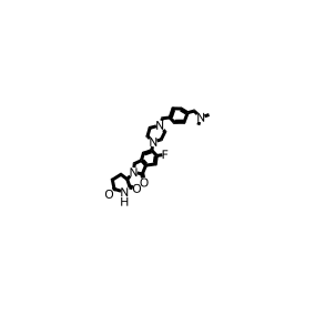 CN(C)Cc1ccc(CN2CCN(c3cc4c(cc3F)C(=O)N(C3CCC(=O)NC3=O)C4)CC2)cc1